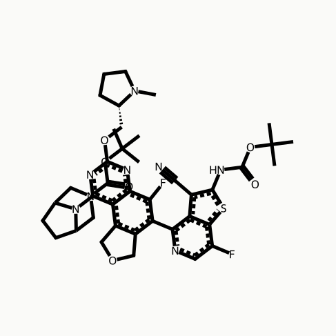 CN1CCC[C@H]1COc1nc(N2C3CCC2CN(C(=O)OC(C)(C)C)C3)c2c3c(c(-c4ncc(F)c5sc(NC(=O)OC(C)(C)C)c(C#N)c45)c(F)c2n1)COC3